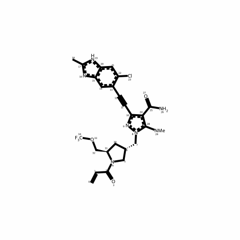 C=CC(=O)N1C[C@@H](Cn2nc(C#Cc3cc4nc(C)[nH]c4cc3Cl)c(C(N)=O)c2NC)C[C@@H]1COC(F)(F)F